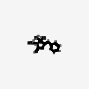 CCCCN1C(=O)S/C(=C\c2ccccc2)C1(CC)CC